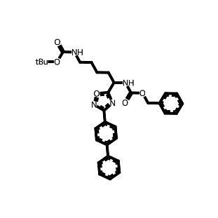 CC(C)(C)OC(=O)NCCCCC(NC(=O)OCc1ccccc1)c1nc(-c2ccc(-c3ccccc3)cc2)no1